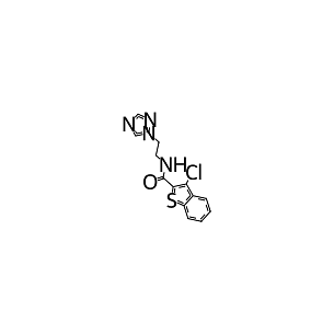 O=C(NCCn1cncn1)c1sc2ccccc2c1Cl